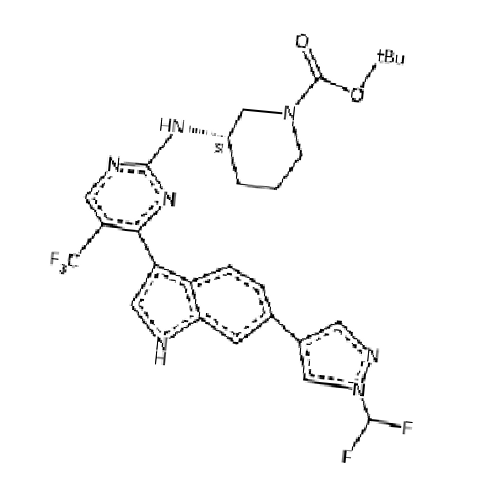 CC(C)(C)OC(=O)N1CCC[C@H](Nc2ncc(C(F)(F)F)c(-c3c[nH]c4cc(-c5cnn(C(F)F)c5)ccc34)n2)C1